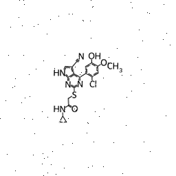 COc1cc(Cl)c(-c2nc(SCC(=O)NC3CC3)nc3[nH]cc(C#N)c23)cc1O